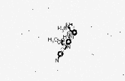 CCOC(=O)Cn1c(COc2ccc(C#N)cc2)nc2ccc(NS(=O)(=O)c3ccccc3CCN(C)C)cc21